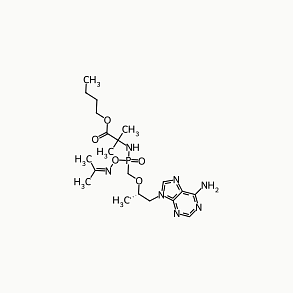 CCCCOC(=O)C(C)(C)NP(=O)(CO[C@@H](C)Cn1cnc2c(N)ncnc21)ON=C(C)C